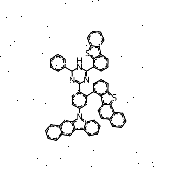 c1ccc(C2N=C(c3ccc(-n4c5ccccc5c5cc6ccccc6cc54)cc3-c3cccc4sc5c6ccccc6ccc5c34)N=C(c3cccc4c3sc3ccccc34)N2)cc1